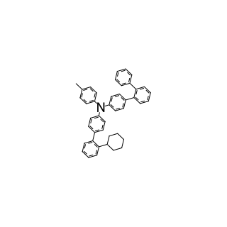 Cc1ccc(N(c2ccc(-c3ccccc3-c3ccccc3)cc2)c2ccc(-c3ccccc3C3CCCCC3)cc2)cc1